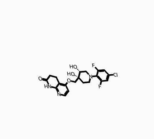 O=C1CCc2c(OC[C@]3(O)CCN(c4c(F)cc(Cl)cc4F)C[C@H]3O)ccnc2N1